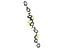 C1=CC2C=C(c3ccc4c(c3)sc3c5cc6sc7c8ccc(-c9cc%10ccc(-c%11ccccc%11)cc%10s9)cc8sc7c6cc5sc43)SC2C=C1c1ccccc1